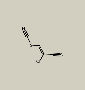 N#CSC=C(Cl)C#N